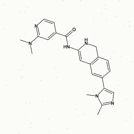 Cc1ncc(-c2ccc3c(c2)C=C(NC(=O)c2ccnc(N(C)C)c2)NC3)n1C